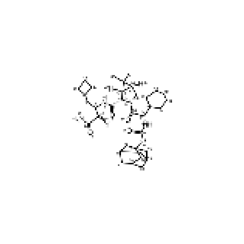 CC1(C)[C@H]2[C@@H](C(=O)NC(CC3CCC3)C(=O)C(N)=O)N(C(=O)[C@@H](NC(=O)OC34CC5CC(CC(C5)C3)C4)C3CCCCC3)C[C@H]21